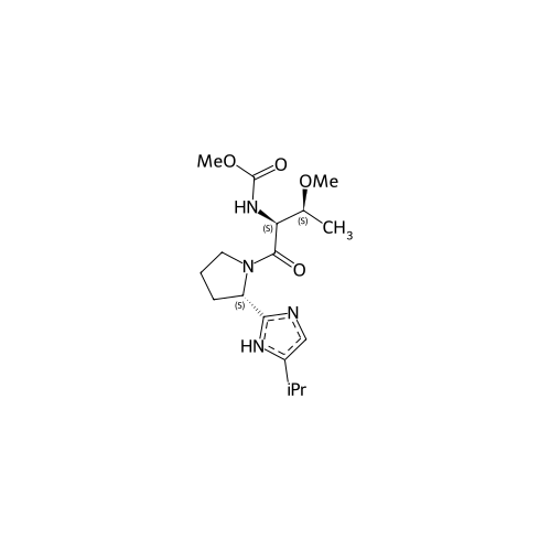 COC(=O)N[C@H](C(=O)N1CCC[C@H]1c1ncc(C(C)C)[nH]1)[C@H](C)OC